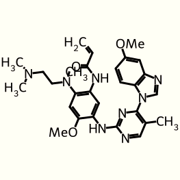 C=CC(=O)Nc1cc(Nc2ncc(C)c(-n3cnc4cc(OC)ccc43)n2)c(OC)cc1N(C)CCN(C)C